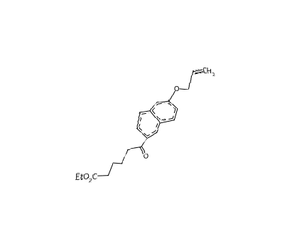 C=CCOc1ccc2cc(C(=O)CCCCC(=O)OCC)ccc2c1